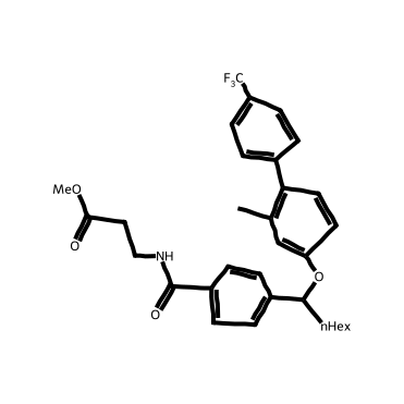 CCCCCCC(Oc1ccc(-c2ccc(C(F)(F)F)cc2)c(C)c1)c1ccc(C(=O)NCCC(=O)OC)cc1